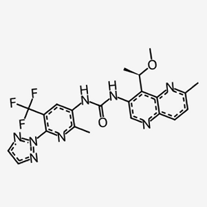 CO[C@H](C)c1c(NC(=O)Nc2cc(C(F)(F)F)c(-n3nccn3)nc2C)cnc2ccc(C)nc12